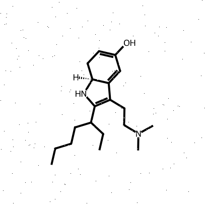 CCCCC(CC)C1=C(CCN(C)C)C2=CC(O)=CC[C@@H]2N1